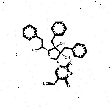 C=Cc1cn([C@H]2S[C@@H](C(O)Cc3ccccc3)[C@](O)(Cc3ccccc3)[C@@]2(O)Cc2ccccc2)c(=O)[nH]c1=O